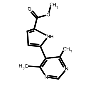 COC(=O)c1ccc(-c2c(C)ncnc2C)[nH]1